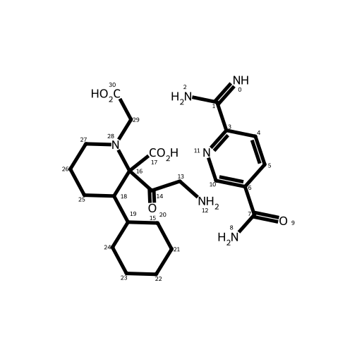 N=C(N)c1ccc(C(N)=O)cn1.NCC(=O)C1(C(=O)O)C(C2CCCCC2)CCCN1CC(=O)O